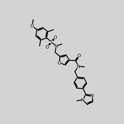 COc1cc(C)c(S(=O)(=O)N(C)Cc2cc(C(=O)N(C)Cc3ccc(-c4nccn4C)cc3)co2)c(C)c1